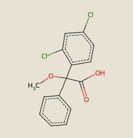 COC(C(=O)O)(c1ccccc1)c1ccc(Cl)cc1Cl